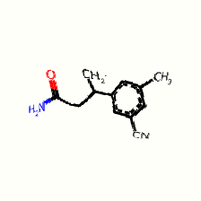 [CH2]C(CC(N)=O)c1cc(C)cc(C#N)c1